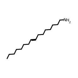 CCCCCCCC=CCCCCCCCN